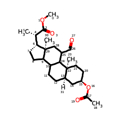 COC(=O)[C@@H](C)[C@H]1CCC2C3CC[C@@H]4C[C@H](OC(C)=O)CC[C@]4(C)C3C(C=O)C[C@@]21C